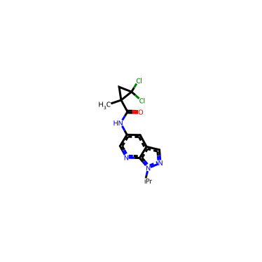 CC(C)n1ncc2cc(NC(=O)C3(C)CC3(Cl)Cl)cnc21